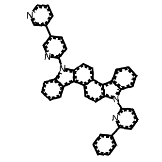 c1ccc(-c2cccc(-n3c4ccccc4c4c5ccc6c(c5ccc43)c3ccccc3n6-c3ccc(-c4cccnc4)cn3)n2)cc1